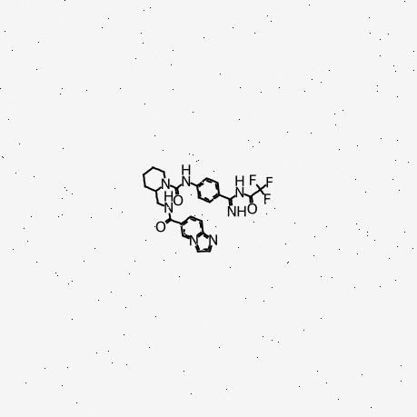 N=C(NC(=O)C(F)(F)F)c1ccc(NC(=O)N2CCCCC2CNC(=O)c2ccc3nccn3c2)cc1